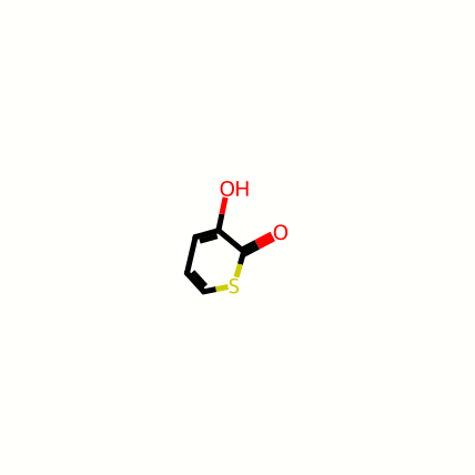 O=c1scccc1O